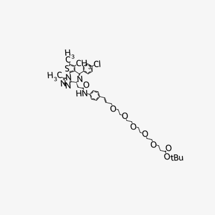 Cc1sc2c(c1C)C(c1ccc(Cl)cc1)=N[C@@H](CC(=O)Nc1ccc(/C=C/COCCOCCOCCOCCOCCC(=O)OC(C)(C)C)cc1)c1nnc(C)n1-2